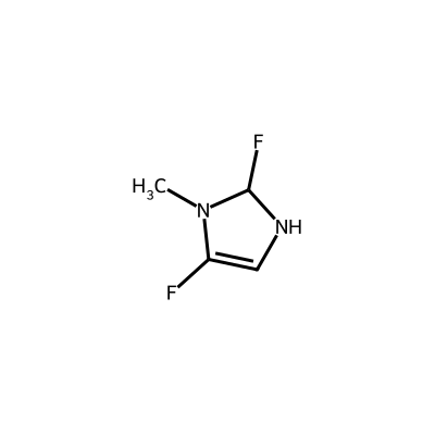 CN1C(F)=CNC1F